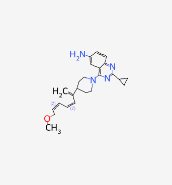 C=C(/C=C\C=C/COC)C1CCN(c2nc(C3CC3)nc3ccc(N)cc23)CC1